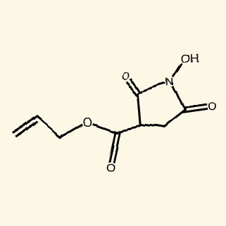 C=CCOC(=O)C1CC(=O)N(O)C1=O